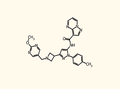 COc1ncc(CN2CC(c3cc(NC(=O)c4cnn5cccnc45)n(-c4ccc(C)cc4)n3)C2)cn1